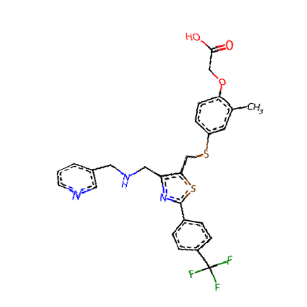 Cc1cc(SCc2sc(-c3ccc(C(F)(F)F)cc3)nc2CNCc2cccnc2)ccc1OCC(=O)O